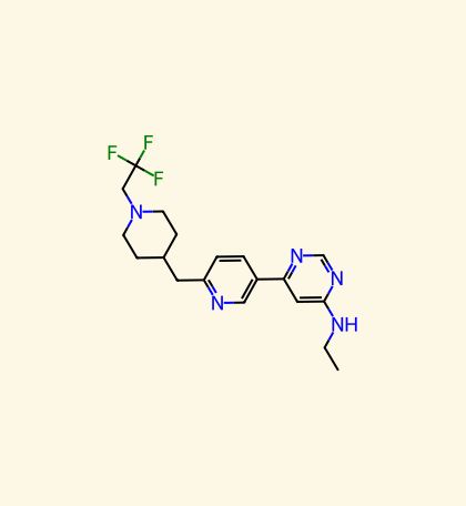 CCNc1cc(-c2ccc(CC3CCN(CC(F)(F)F)CC3)nc2)ncn1